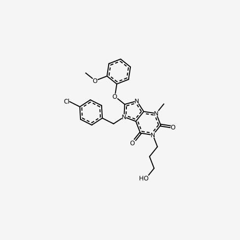 COc1ccccc1Oc1nc2c(c(=O)n(CCCO)c(=O)n2C)n1Cc1ccc(Cl)cc1